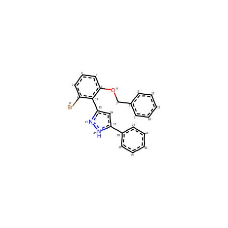 Brc1cccc(OCc2ccccc2)c1-c1cc(-c2ccccc2)[nH]n1